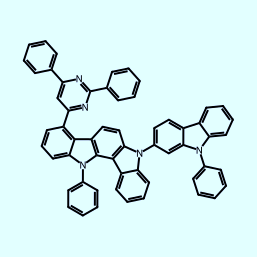 c1ccc(-c2cc(-c3cccc4c3c3ccc5c(c6ccccc6n5-c5ccc6c7ccccc7n(-c7ccccc7)c6c5)c3n4-c3ccccc3)nc(-c3ccccc3)n2)cc1